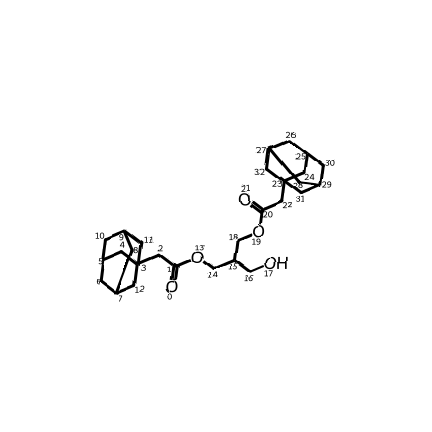 O=C(CC12CC3CC(CC(C3)C1)C2)OCC(CO)COC(=O)CC12CC3CC(CC(C3)C1)C2